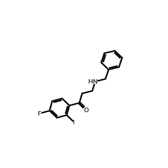 O=C(CCNCc1ccccc1)c1ccc(F)cc1I